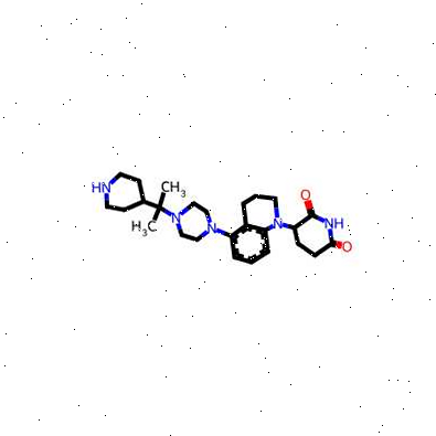 CC(C)(C1CCNCC1)N1CCN(c2cccc3c2CCCN3C2CCC(=O)NC2=O)CC1